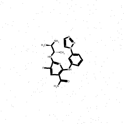 C[C@H](Nc1nc(Nc2cccc(-n3ccnn3)c2)c(C(N)=O)cc1F)[C@@H](C)N